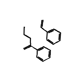 C=C(CCC)c1ccccc1.C=Cc1ccccc1